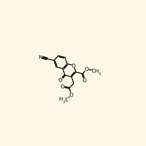 COC(=O)Cc1c(C(=O)OC)oc2ccc(C#N)cc2c1=O